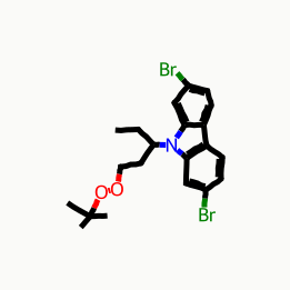 CCC(CCOOC(C)(C)C)n1c2cc(Br)ccc2c2ccc(Br)cc21